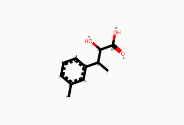 Cc1cccc(C(C)C(O)C(=O)O)c1